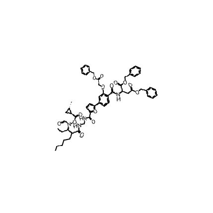 CCCCCC(C(=O)NCNC(=O)c1ccc(-c2ccc(C(=O)NC(CC(=O)OCc3ccccc3)C(=O)OCc3ccccc3)c(OCC(=O)OCc3ccccc3)c2)o1)C(CC)N(C=O)OC(=O)C1C[C@@H]1C